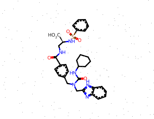 O=C(NC[C@H](NS(=O)(=O)c1ccccc1)C(=O)O)c1ccc(CN(Cc2nc3ccccc3[nH]2)C(=O)NC2CCCCC2)cc1